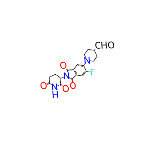 O=CC1CCN(c2cc3c(cc2F)C(=O)N(C2CCC(=O)NC2=O)C3=O)CC1